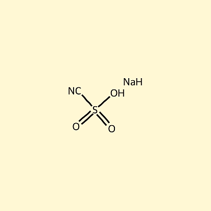 N#CS(=O)(=O)O.[NaH]